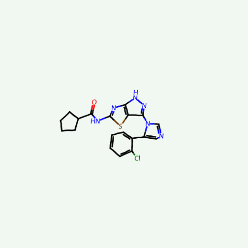 O=C(Nc1nc2[nH]nc(-n3cncc3-c3ccccc3Cl)c2s1)C1CCCC1